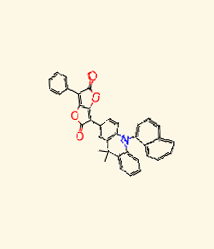 CC1(C)c2ccccc2N(c2cccc3ccccc23)c2ccc(C3=C4OC(=O)C(c5ccccc5)=C4OC3=O)cc21